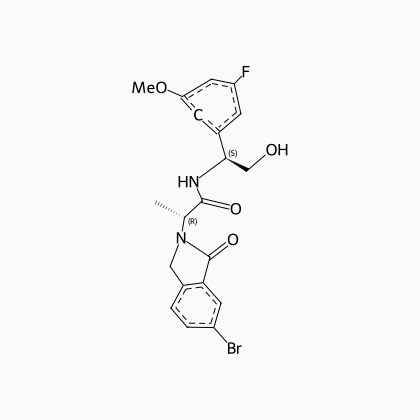 COc1cc(F)cc([C@@H](CO)NC(=O)[C@@H](C)N2Cc3ccc(Br)cc3C2=O)c1